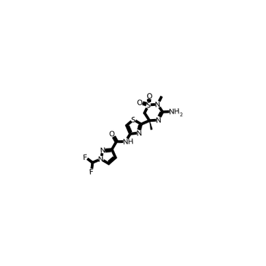 CN1C(N)=N[C@](C)(c2nc(NC(=O)c3ccn(C(F)F)n3)cs2)CS1(=O)=O